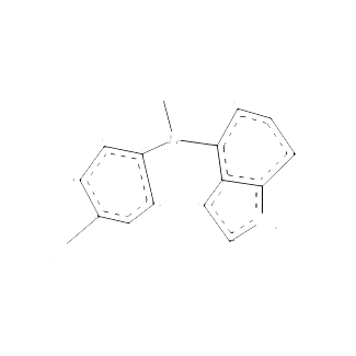 CN(c1ccc(F)cc1)c1cccc2s[c]cc12